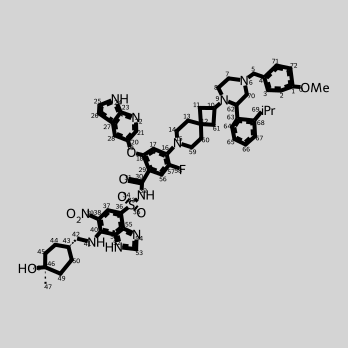 COc1ccc(CN2CCN(C3CC4(CCN(c5cc(Oc6cnc7[nH]ccc7c6)c(C(=O)NS(=O)(=O)c6cc([N+](=O)[O-])c(NC[C@H]7CC[C@](C)(O)CC7)c7[nH]cnc67)cc5F)CC4)C3)C(c3ccccc3C(C)C)C2)cc1